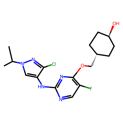 CC(C)n1cc(Nc2ncc(F)c(OC[C@H]3CC[C@H](O)CC3)n2)c(Cl)n1